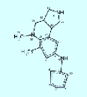 Cc1cc(Nc2ccccc2)cc2c1N(C)CC1CNCC21